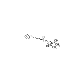 CCCCCCCC/C=C\CCCCCCCC(=O)OCC(O)CN(C(C)O)C(C)O